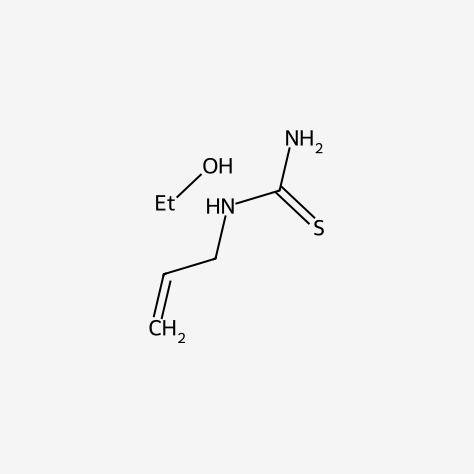 C=CCNC(N)=S.CCO